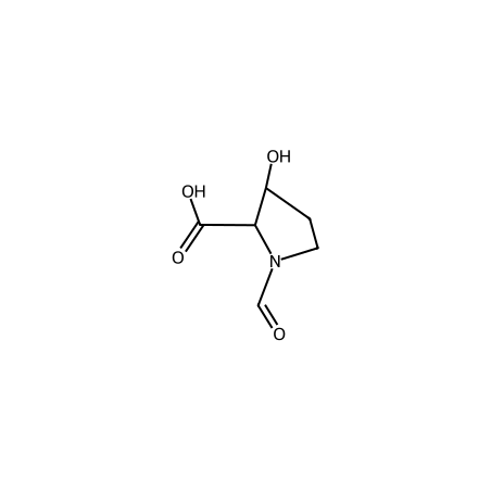 O=CN1CCC(O)C1C(=O)O